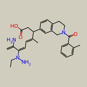 C=C(N)/C(=C\C=C(/C)C(CC(=O)O)c1ccc2c(c1)CN(C(=O)c1ccccc1C)CC2)N(N)CC